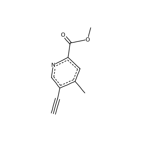 C#Cc1cnc(C(=O)OC)cc1C